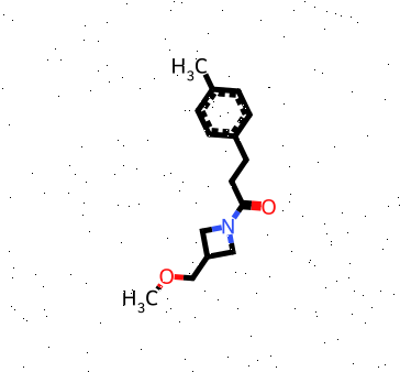 COCC1CN(C(=O)CCc2ccc(C)cc2)C1